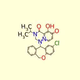 CC(C)N1CN(C2c3ccccc3COc3ccc(Cl)cc32)n2ccc(=O)c(O)c2C1=O